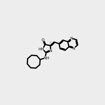 O=C1NC(NC2CCCCCCC2)=N/C1=C\c1ccc2nccnc2c1